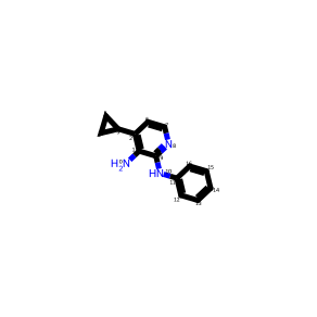 Nc1c(C2CC2)ccnc1Nc1ccccc1